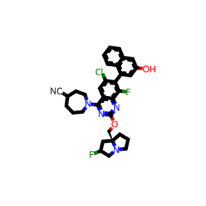 N#CC1CCCN(c2nc(OC[C@@]34CCCN3CC(F)C4)nc3c(F)c(-c4cc(O)cc5ccccc45)c(Cl)cc23)CC1